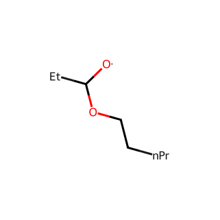 CCCCCOC([O])CC